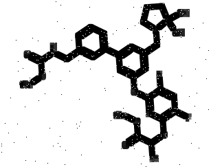 CCC(Oc1nc(Oc2cc(CN3CCCS3(O)O)cc(-c3cccc(CNC(=O)OC(C)(C)C)c3)c2)c(F)cc1F)C(=O)OC(C)(C)C